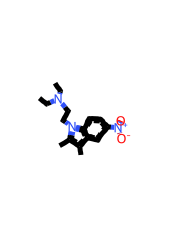 CCN(CC)CCn1c(C)c(C)c2cc([N+](=O)[O-])ccc21